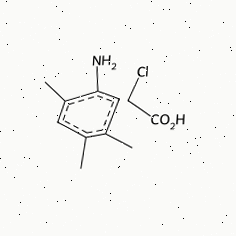 Cc1cc(C)c(N)cc1C.O=C(O)CCl